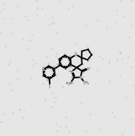 CN1C(=O)C2(CC3(CCCC3)Oc3ccc(-c4cncc(F)c4)cc32)N=C1N